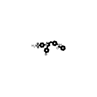 NS(=O)(=O)c1ccc(-n2nc(Cc3ccc(NC(=O)c4ccccc4)cc3)cc2-c2ccc(Br)cc2)cc1